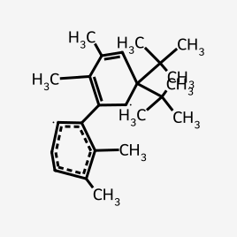 CC1=CC(C(C)(C)C)(C(C)(C)C)[CH]C(c2[c]ccc(C)c2C)=C1C